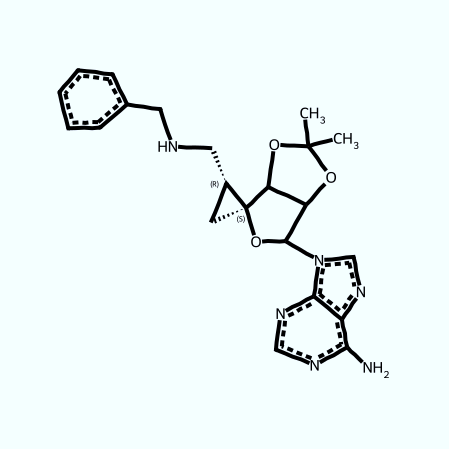 CC1(C)OC2C(n3cnc4c(N)ncnc43)O[C@]3(C[C@@H]3CNCc3ccccc3)C2O1